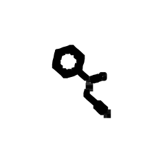 N#CC[PH](=O)c1ccccc1